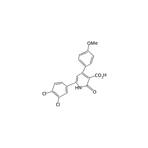 COc1ccc(-c2cc(-c3ccc(Cl)c(Cl)c3)[nH]c(=O)c2C(=O)O)cc1